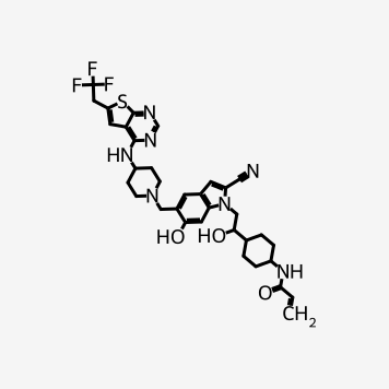 C=CC(=O)NC1CCC(C(O)Cn2c(C#N)cc3cc(CN4CCC(Nc5ncnc6sc(CC(F)(F)F)cc56)CC4)c(O)cc32)CC1